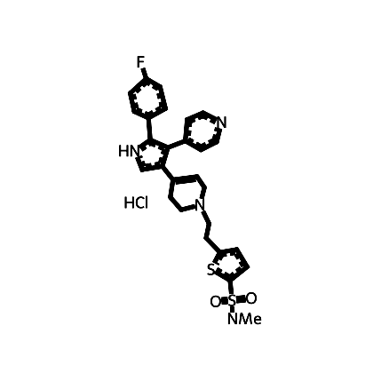 CNS(=O)(=O)c1ccc(CCN2CC=C(c3c[nH]c(-c4ccc(F)cc4)c3-c3ccncc3)CC2)s1.Cl